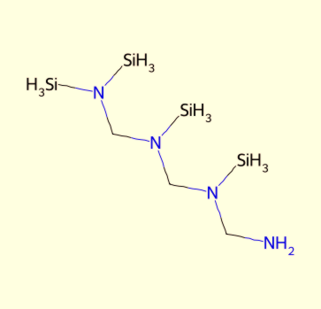 NCN([SiH3])CN([SiH3])CN([SiH3])[SiH3]